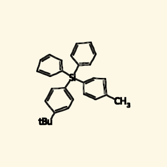 Cc1ccc([Si](c2ccccc2)(c2ccccc2)c2ccc(C(C)(C)C)cc2)cc1